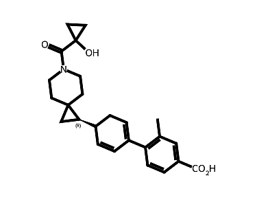 Cc1cc(C(=O)O)ccc1C1=CCC([C@H]2CC23CCN(C(=O)C2(O)CC2)CC3)C=C1